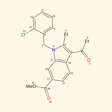 CCC(=O)c1c(CC)n(Cc2ccccc2Cl)c2cc(C(=O)OC)ccc12